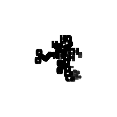 CC(C)(CO)[C@@H](O)C(=O)NCCC(=O)[O-].O=P([O-])([O-])[O-].[Ca+2].[Ca+2]